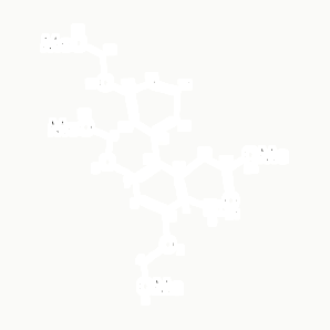 CCc1c(OCOC)cc(OCOC)c(-c2cccc(OCOC)c2)c1CC(=O)OC